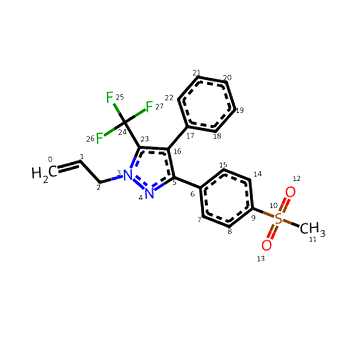 C=CCn1nc(-c2ccc(S(C)(=O)=O)cc2)c(-c2ccccc2)c1C(F)(F)F